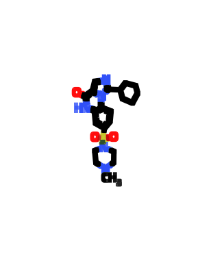 CN1CCN(S(=O)(=O)c2ccc3c(c2)[nH]c(=O)c2cnc(C4CCCCC4)n23)CC1